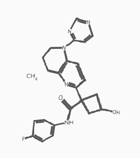 C.O=C(Nc1ccc(F)cc1)C1(c2ccc3c(n2)CCCN3c2ccncn2)CC(O)C1